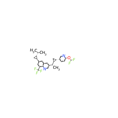 CC(C)[C@H]1C[C@@H]1c1cc(C(F)(F)F)c2ncc([C@@H](C)[C@H]3C[C@@H]3c3ccc(OC(F)F)nc3)cc2c1